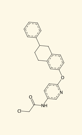 O=C(CCl)Nc1ccc(Oc2ccc3c(c2)CCC(c2ccccc2)C3)nc1